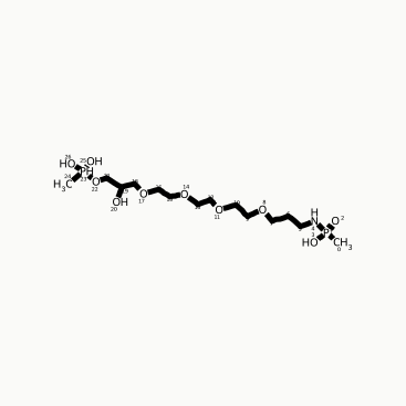 CP(=O)(O)NCCCOCCOCCOCCOCC(O)CO[PH](C)(O)O